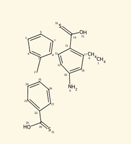 C.C.Cc1ccccc1.Nc1ccc(C(O)=S)cc1.OC(=S)c1ccccc1